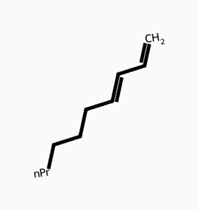 C=CC=CCCCC[CH]C